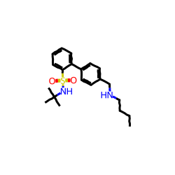 CCCCNCc1ccc(-c2ccccc2S(=O)(=O)NC(C)(C)C)cc1